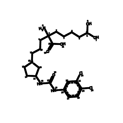 NC(CCCCB(O)O)(CCCN1CCC(NC(=O)Nc2ccc(Cl)c(Cl)c2)C1)C(=O)O